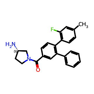 Cc1ccc(-c2ccc(C(=O)N3CC[C@H](N)C3)cc2-c2ccccc2)c(F)c1